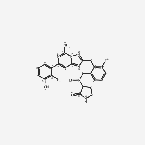 CCN(Cc1cccc(F)c1Cc1nc2cc(-c3cccc(C#N)c3F)nc(N)n2n1)C1CCNC1=O